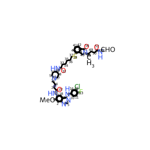 COc1cc2ncnc(Nc3ccc(F)c(Cl)c3)c2cc1NC(=O)/C=C/CN1CCC(NC(=O)CCCCCSc2cccc3c2CN(C(C)CCC(=O)NC=O)C3=O)CC1